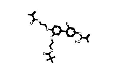 C=C(C)C(=O)OCCOc1ccc(-c2ccc(OC(O)C(=C)C)cc2F)cc1OCCOC(=O)C(C)(C)C